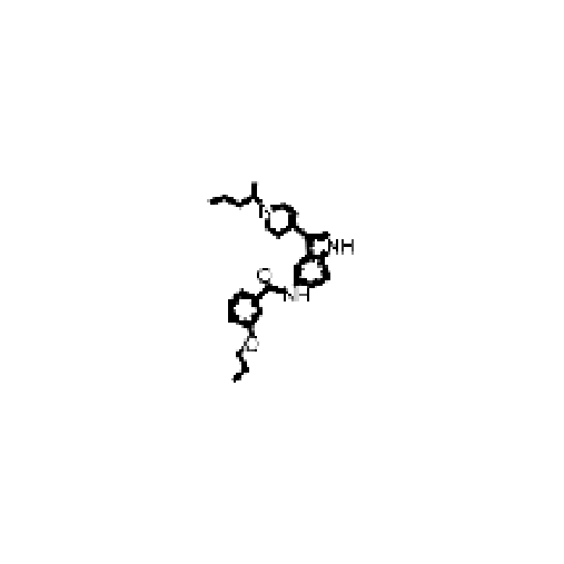 CCCOc1cccc(C(=O)Nc2ccc3[nH]cc(C4=CCN(C(C)CCC)CC4)c3c2)c1